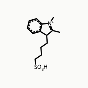 CC1=[N+](C)c2ccccc2C1CCCCS(=O)(=O)O